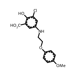 COc1ccc(OCCNc2cc(Cl)c(O)c(C(=O)O)c2)cc1